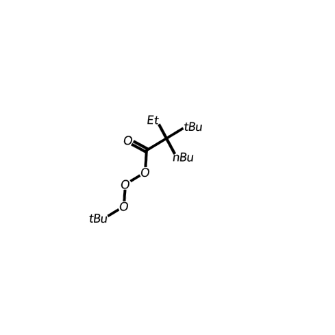 CCCCC(CC)(C(=O)OOOC(C)(C)C)C(C)(C)C